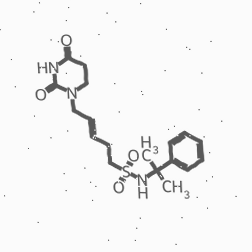 CC(C)(NS(=O)(=O)CC/C=C/CN1CCC(=O)NC1=O)c1ccccc1